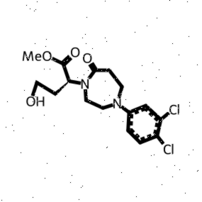 COC(=O)[C@H](CCO)N1CCN(c2ccc(Cl)c(Cl)c2)CCC1=O